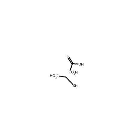 O=C(O)C(O)=S.O=C(O)CS